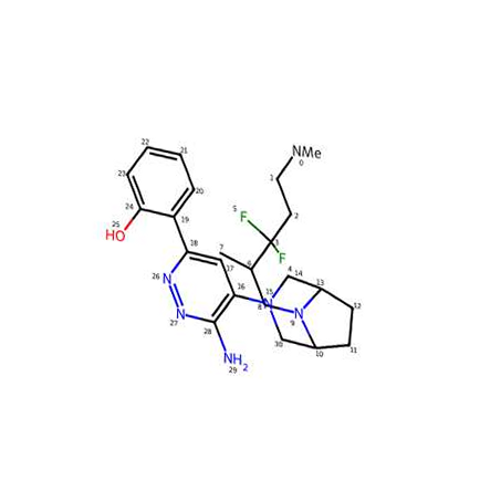 CNCCC(F)(F)C(C)CN1C2CCC1CN(c1cc(-c3ccccc3O)nnc1N)C2